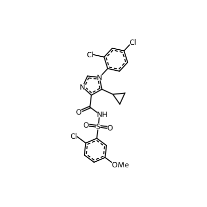 COc1ccc(Cl)c(S(=O)(=O)NC(=O)c2ncn(-c3ccc(Cl)cc3Cl)c2C2CC2)c1